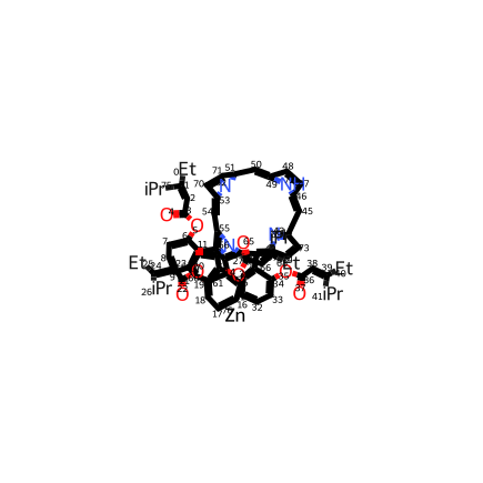 CCC(=CC(=O)Oc1ccccc1-c1c(-c2ccccc2OC(=O)C=C(CC)C(C)C)c2c(-c3ccccc3OC(=O)C=C(CC)C(C)C)c3nc(cc4ccc(cc5nc(cc1n2-c1ccccc1OC(=O)C=C(CC)C(C)C)C=C5)[nH]4)C=C3)C(C)C.[Zn]